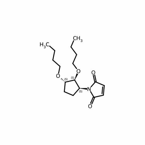 CCCCO[C@@H]1[C@@H](OCCCC)CC[C@@H]1N1C(=O)C=CC1=O